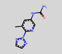 Cc1cc(NC(N)=O)cnc1-n1nccn1